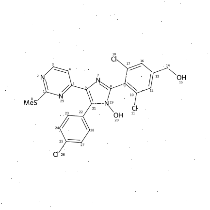 CSc1nccc(-c2nc(-c3c(Cl)cc(CO)cc3Cl)n(O)c2-c2ccc(Cl)cc2)n1